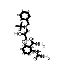 CC(C)(C)N(Cc1ccccc1)CC(O)COc1cccc(NC(N)=O)c1C(N)=O